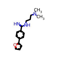 CN(C)CCCNC(=N)c1ccc(-c2ccco2)cc1